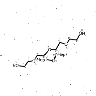 CCCCCCCOCCCCCCC.OCCOCCOCCOCCO